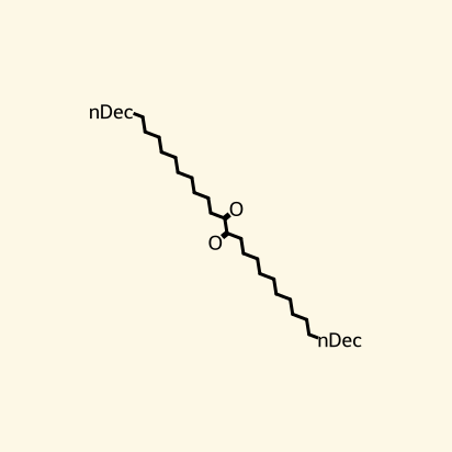 CCCCCCCCCCCCCCCCCCCCC(=O)C(=O)CCCCCCCCCCCCCCCCCCCC